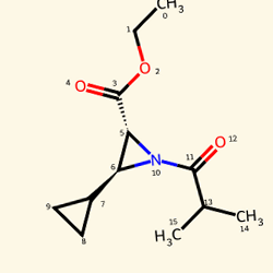 CCOC(=O)[C@H]1[C@H](C2CC2)N1C(=O)C(C)C